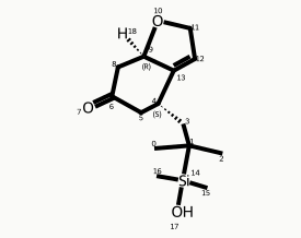 CC(C)(C[C@@H]1CC(=O)C[C@H]2OCC=C12)[Si](C)(C)O